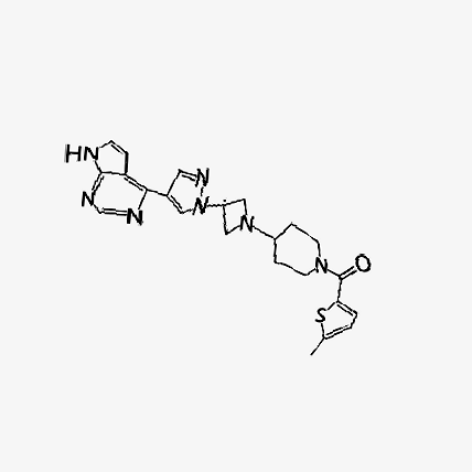 Cc1ccc(C(=O)N2CCC(N3C[C](n4cc(-c5ncnc6[nH]ccc56)cn4)C3)CC2)s1